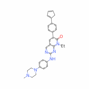 CCn1c(=O)c(-c2ccc(C3=CC=CC3)cc2)cc2cnc(Nc3ccc(N4CCN(C)CC4)cc3)nc21